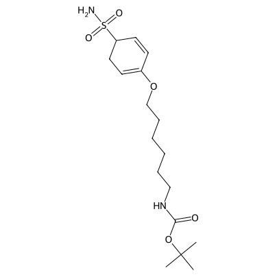 CC(C)(C)OC(=O)NCCCCCCOC1=CCC(S(N)(=O)=O)C=C1